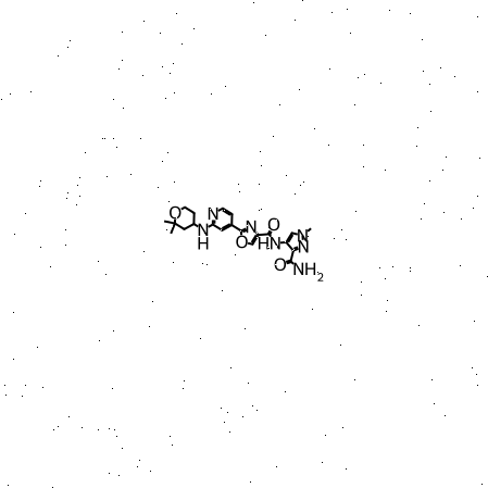 Cn1cc(NC(=O)c2coc(-c3ccnc(NC4CCOC(C)(C)C4)c3)n2)c(C(N)=O)n1